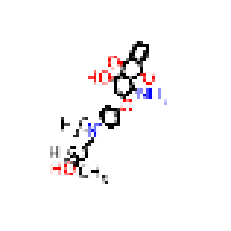 CN(CCC[Si](C)(C)O)c1ccc(Oc2cc(O)c3c(c2N)C(=O)c2ccccc2C3=O)cc1